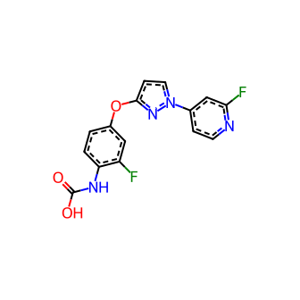 O=C(O)Nc1ccc(Oc2ccn(-c3ccnc(F)c3)n2)cc1F